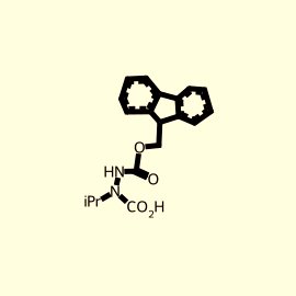 CC(C)N(NC(=O)OCC1c2ccccc2-c2ccccc21)C(=O)O